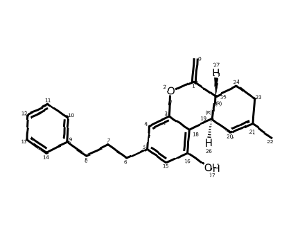 C=C1Oc2cc(CCCc3ccccc3)cc(O)c2[C@@H]2C=C(C)CC[C@@H]12